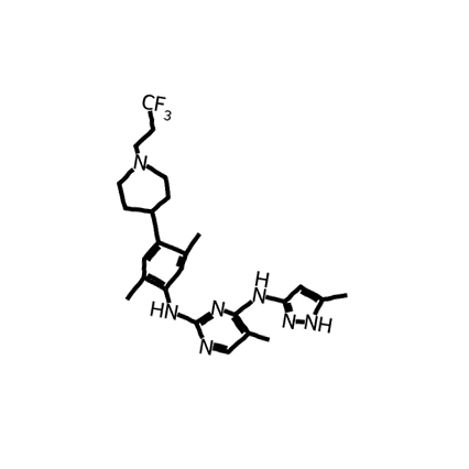 Cc1cc(Nc2nc(Nc3cc(C)c(C4CCN(CCC(F)(F)F)CC4)cc3C)ncc2C)n[nH]1